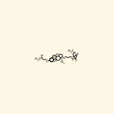 CCCC(OCCCO[C@H]1CC[C@H]2[C@@H]3CCc4cc(OCCNC)ccc4[C@H]3CC[C@]12C)(C(F)(F)F)C(F)(F)F